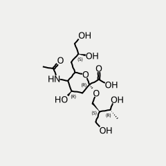 CC(=O)NC1C(C[C@H](O)CO)O[C@@](OC[C@H](CO)[C@@H](C)O)(C(=O)O)C[C@H]1O